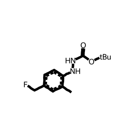 Cc1cc(CF)ccc1NNC(=O)OC(C)(C)C